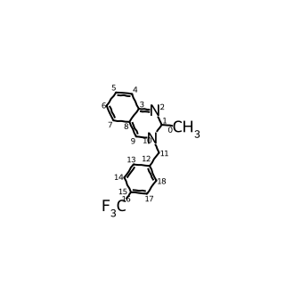 CC1N=c2ccccc2=CN1Cc1ccc(C(F)(F)F)cc1